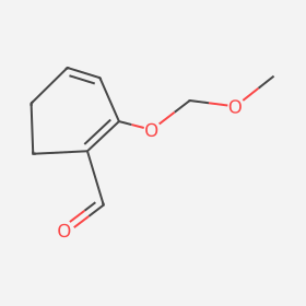 COCOC1=C(C=O)CCC=C1